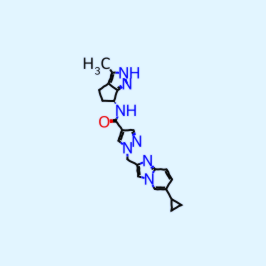 Cc1[nH]nc2c1CC[C@H]2NC(=O)c1cnn(Cc2cn3cc(C4CC4)ccc3n2)c1